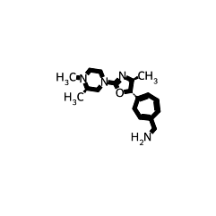 C[C@@H]1N=C(N2CCN(C)[C@H](C)C2)O[C@H]1C1=CC=CC(CN)=CC1